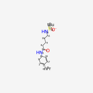 CCCC1=CCC(NC(=O)CCCCN[S+]([O-])C(C)(C)C)C=C1